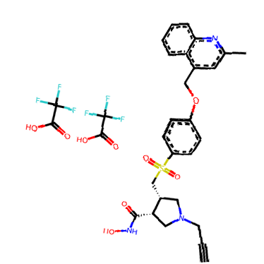 C#CCN1C[C@@H](CS(=O)(=O)c2ccc(OCc3cc(C)nc4ccccc34)cc2)[C@@H](C(=O)NO)C1.O=C(O)C(F)(F)F.O=C(O)C(F)(F)F